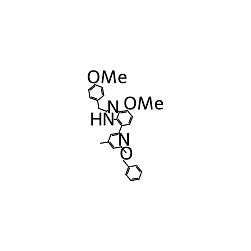 COc1ccc(Cc2nc3c(OC)ccc(-c4cc(C)cc(OCc5ccccc5)n4)c3[nH]2)cc1